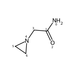 NC(=O)CN1CC1